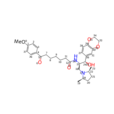 COc1ccc(C(=O)CCCCCC(=O)N[C@H](CN2[C@H](C)CC[C@@H]2C)[C@H](O)c2ccc3c(c2)OCCO3)cc1